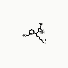 O=CNCCC=C(c1cccc(CO)c1)c1cc(C2CC2)n[nH]1